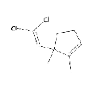 CC1=CCCC1(C)C=C(Cl)Cl